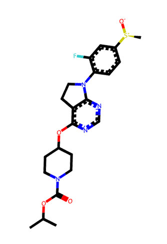 CC(C)OC(=O)N1CCC(Oc2ncnc3c2CCN3c2ccc([S@+](C)[O-])cc2F)CC1